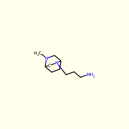 CN1CC2CCC1CN2CCCN